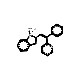 O=C(O)N1c2ccccc2CC1C=C(c1ccccc1)c1ccccn1